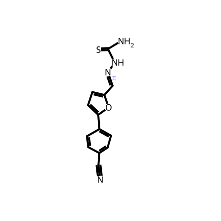 N#Cc1ccc(-c2ccc(/C=N/NC(N)=S)o2)cc1